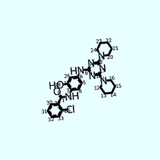 O=C(Nc1ccc(Nc2nc(N3CCCCC3)nc(N3CCCCC3)n2)cc1O)c1ccccc1Cl